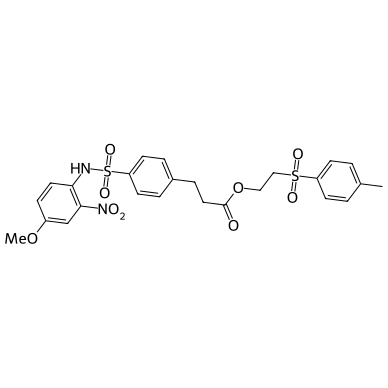 COc1ccc(NS(=O)(=O)c2ccc(CCC(=O)OCCS(=O)(=O)c3ccc(C)cc3)cc2)c([N+](=O)[O-])c1